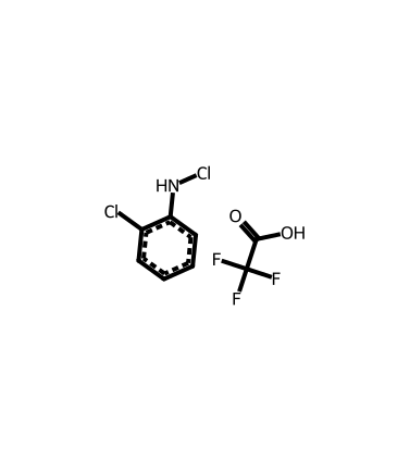 ClNc1ccccc1Cl.O=C(O)C(F)(F)F